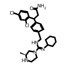 C[C@H]1CN(/C(=N/C2CCCCC2)NCc2ccc(C(CC(N)=O)c3ccc(Cl)cc3Cl)cc2)CCN1